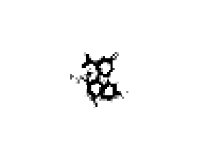 C=C(C)C1=CC(=O)C[C@@H](c2cccc(Cl)c2)[C@@]1(C=O)c1ccc(Cl)cc1N